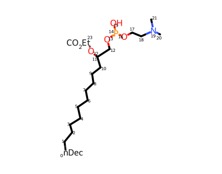 CCCCCCCCCCCCCCCCCCCCC(COP(O)OCCN(C)C)OC(=O)OCC